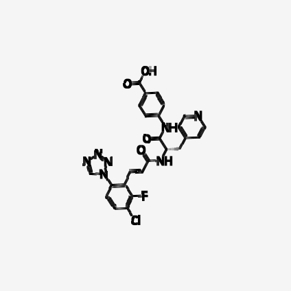 O=C(C=Cc1c(-n2cnnn2)ccc(Cl)c1F)N[C@@H](Cc1ccncc1)C(=O)Nc1ccc(C(=O)O)cc1